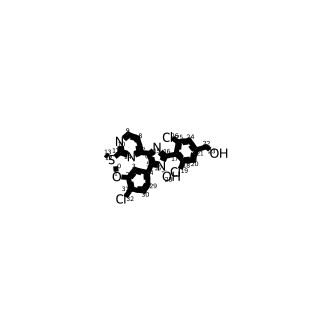 COc1cc(-c2c(-c3ccnc(SC)n3)nc(-c3c(Cl)cc(CO)cc3Cl)n2O)ccc1Cl